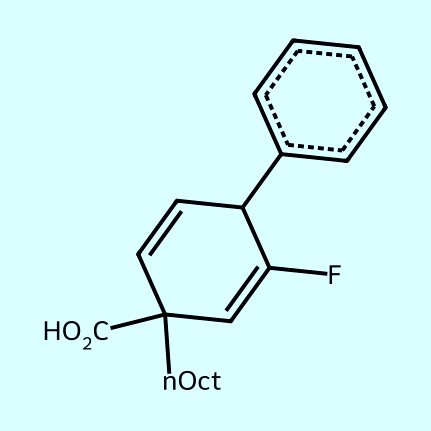 CCCCCCCCC1(C(=O)O)C=CC(c2ccccc2)C(F)=C1